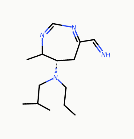 CCCN(CC(C)C)[C@H]1CC(C=N)=NC=NC1C